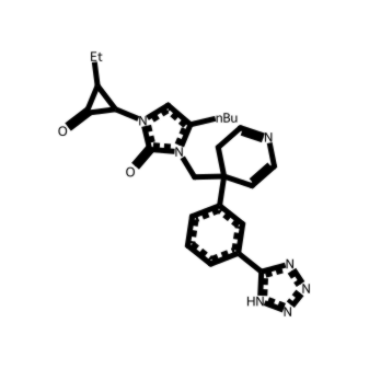 CCCCc1cn(C2C(=O)C2CC)c(=O)n1CC1(c2cccc(-c3nnn[nH]3)c2)C=CN=CC1